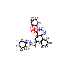 O=c1c2cc(Cc3nc4ccccc4s3)c3ccccc3c2ncn1[C@H]1CCOC[C@@H]1O